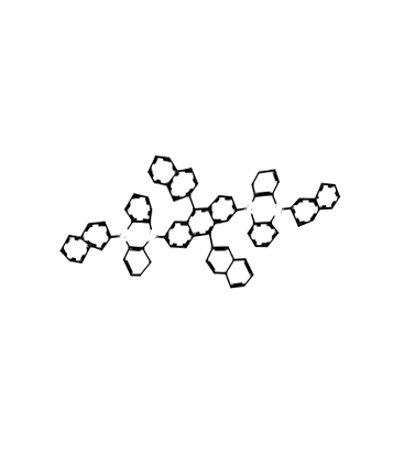 C1=CC2C=CC(c3c4cc(N5C6=C(C=CCC6)N(c6ccc7ccccc7c6)c6ccccc65)ccc4c(-c4ccc5ccccc5c4)c4cc(N5C6=C(C=CCC6)N(c6ccc7ccccc7c6)c6ccccc65)ccc34)=CC2C=C1